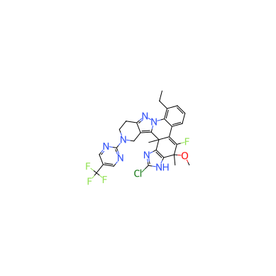 CCc1cccc2c1-n1nc3c(c1C1(C)C2=C(F)C(C)(OC)c2[nH]c(Cl)nc21)CN(c1ncc(C(F)(F)F)cn1)CC3